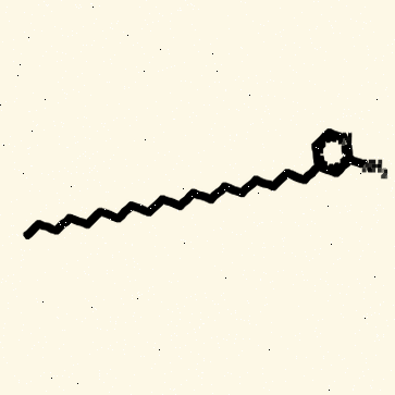 CCCCCCCCCCCCCCCCCCCc1ccnc(N)c1